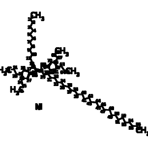 CCCCCCCCCCCCC#CC(=N\c1ccc(CCC)c(CCC)c1)/C(CCCCCCCCCCCCCCCCCCCCCCCCCCCCC)=N/c1ccc(CCC)c(CCC)c1.[Ni]